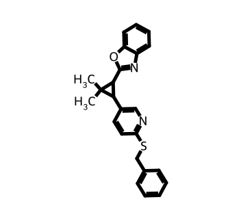 CC1(C)C(c2ccc(SCc3ccccc3)nc2)C1c1nc2ccccc2o1